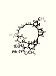 COC(=O)[C@@H](OC(C)(C)C)c1c(C)nc2cc3nn2c1N1CCC(C)(CC/C=C/CCc2sc(C)nc2-c2cccc-3c2)CC1